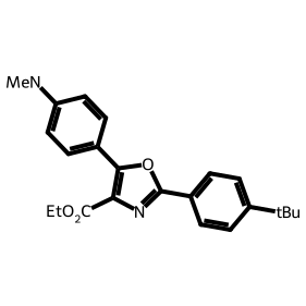 CCOC(=O)c1nc(-c2ccc(C(C)(C)C)cc2)oc1-c1ccc(NC)cc1